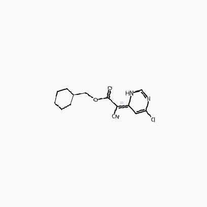 N#C/C(C(=O)OCC1CCCCC1)=C1\C=C(Cl)N=CN1